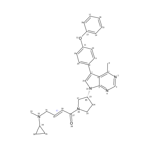 Cc1ncnc2c1c(-c1ccc(Oc3ccccc3)cc1)cn2[C@@H]1CCN(C(=O)/C=C/CN(C)C2CC2)C1